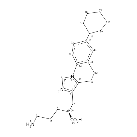 NCCC[C@@H](Cc1ncn2c1CCc1cc(C3CCCCC3)ccc1-2)C(=O)O